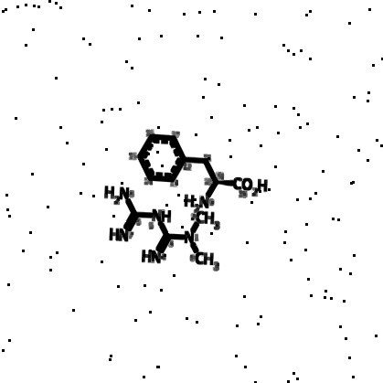 CN(C)C(=N)NC(=N)N.N[C@@H](Cc1ccccc1)C(=O)O